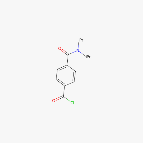 CC(C)N(C(=O)c1ccc(C(=O)Cl)cc1)C(C)C